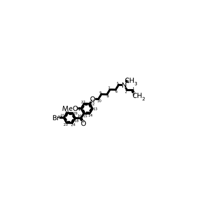 C=CCN(C)CCCCCCOc1ccc(C(=O)c2ccc(Br)cc2)c(OC)c1